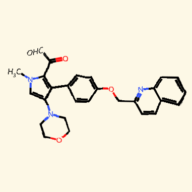 Cn1cc(N2CCOCC2)c(-c2ccc(OCc3ccc4ccccc4n3)cc2)c1C(=O)C=O